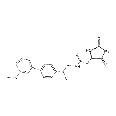 CSc1cccc(-c2ccc(C(C)CNC(=O)CC3NC(=O)NC3=O)cc2)c1